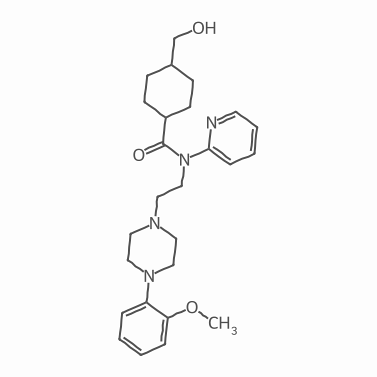 COc1ccccc1N1CCN(CCN(C(=O)C2CCC(CO)CC2)c2ccccn2)CC1